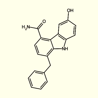 NC(=O)c1ccc(Cc2ccccc2)c2[nH]c3ccc(O)cc3c12